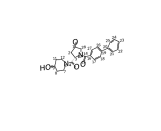 O=C1C[C@@H](C(=O)N2CCC(O)CC2)N(C(=O)c2ccc(-c3ccccc3)cc2)C1